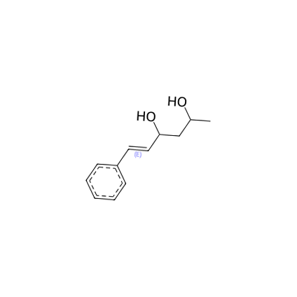 CC(O)CC(O)/C=C/c1ccccc1